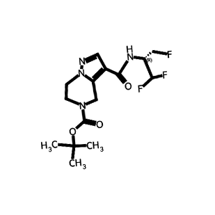 CC(C)(C)OC(=O)N1CCn2ncc(C(=O)N[C@H](CF)C(F)F)c2C1